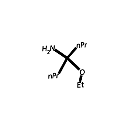 CCCC(N)(CCC)OCC